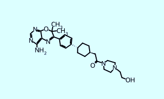 CC1(C)Oc2ncnc(N)c2N=C1c1ccc([C@H]2CC[C@H](CC(=O)N3CCN(CCO)CC3)CC2)cc1